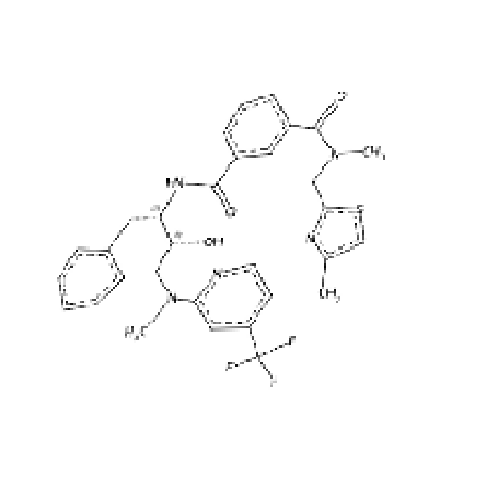 Cc1csc(CN(C)C(=O)c2cccc(C(=O)N[C@@H](Cc3ccccc3)[C@H](O)CN(C)c3cc(C(F)(F)F)ccn3)c2)n1